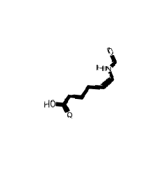 O=CN/C=C\CCCC(=O)O